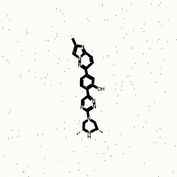 Cc1cn2nc(-c3ccc(-c4cnc(N5C[C@@H](C)N[C@@H](C)C5)nn4)c(O)c3)ccc2n1